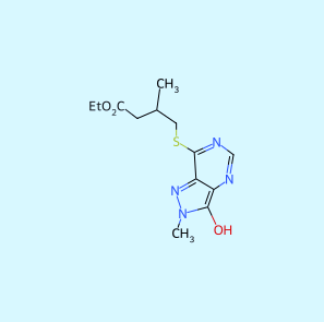 CCOC(=O)CC(C)CSc1ncnc2c(O)n(C)nc12